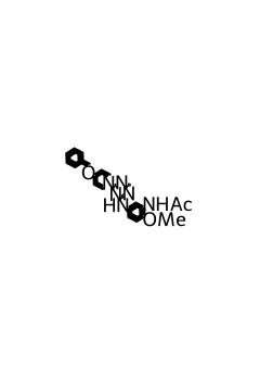 COc1ccc(Nc2ncnc(N3CCC(OCc4ccccc4)CC3)n2)cc1NC(C)=O